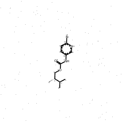 CC(C)[C@H](C)COC(=O)Nc1ccc(Br)nc1